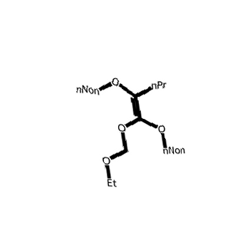 CCCCCCCCCOC(CCC)=C(OCCCCCCCCC)OCOCC